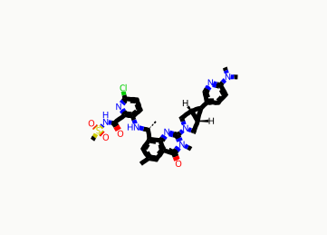 Cc1cc([C@@H](C)Nc2ccc(Cl)nc2C(=O)NS(C)(=O)=O)c2nc(N3C[C@@H]4C(c5ccc(N(C)C)nc5)[C@@H]4C3)n(C)c(=O)c2c1